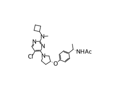 CC(=O)N[C@@H](C)c1ccc(O[C@@H]2CCN(c3nc(N(C)C4CCC4)ncc3Cl)C2)cc1